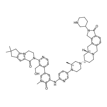 C[C@H]1CN([C@H]2CCN3Cc4ccc5c(c4C[C@H]3C2)CN(C2CCCNC2)C5=O)CCN1c1ccc(Nc2cc(-c3ccnc(N4CCn5c(cc6c5CC(C)(C)C6)C4=O)c3CO)cn(C)c2=O)nc1